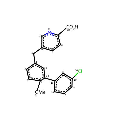 COc1ccc(Cc2ccc(C(=O)O)nc2)cc1-c1cccc(Cl)c1